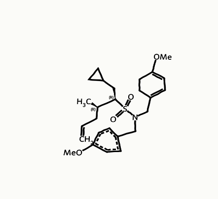 C=CC[C@@H](C)[C@@H](CC1CC1)S(=O)(=O)N(CC1=CC=C(OC)CC1)Cc1ccc(OC)cc1